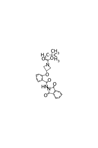 CC(C)(C)OC(=O)N1CC(Oc2ccccc2C(=O)NN2C(=O)c3ccccc3C2=O)C1